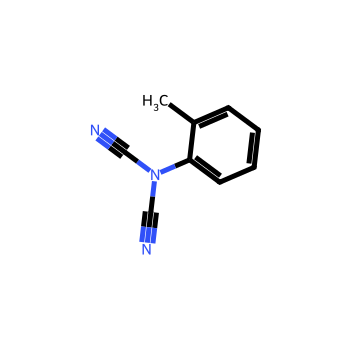 Cc1ccccc1N(C#N)C#N